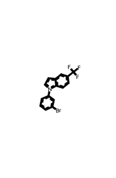 FC(F)(F)c1ccc2c(ccn2-c2cccc(Br)c2)c1